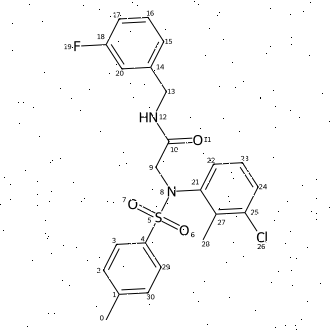 Cc1ccc(S(=O)(=O)N(CC(=O)NCc2cccc(F)c2)c2cccc(Cl)c2C)cc1